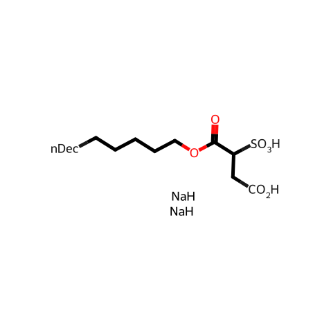 CCCCCCCCCCCCCCCOC(=O)C(CC(=O)O)S(=O)(=O)O.[NaH].[NaH]